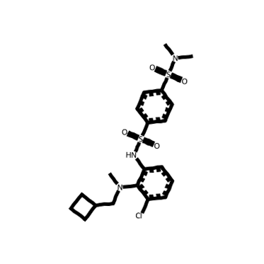 CN(CC1CCC1)c1c(Cl)cccc1NS(=O)(=O)c1ccc(S(=O)(=O)N(C)C)cc1